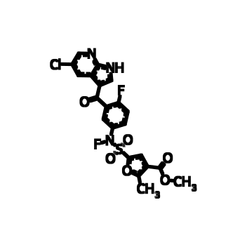 COC(=O)c1cc(S(=O)(=O)N(F)c2ccc(F)c(C(=O)c3c[nH]c4ncc(Cl)cc34)c2)oc1C